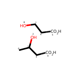 CC(O)CC(=O)O.O=C(O)CCO